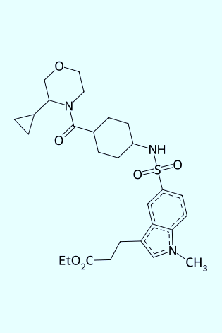 CCOC(=O)CCc1cn(C)c2ccc(S(=O)(=O)NC3CCC(C(=O)N4CCOCC4C4CC4)CC3)cc12